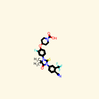 CC1(C)C(=O)N(c2ccc(C#N)c(C(F)(F)F)c2)C(=S)N1c1ccc(OC2CCN(C(=O)O)CC2)c(F)c1